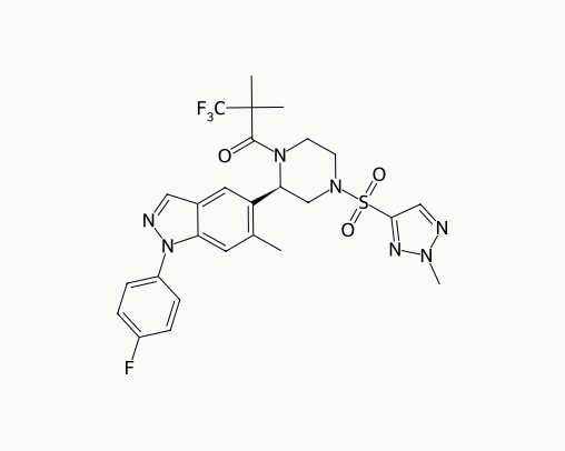 Cc1cc2c(cnn2-c2ccc(F)cc2)cc1[C@@H]1CN(S(=O)(=O)c2cnn(C)n2)CCN1C(=O)C(C)(C)C(F)(F)F